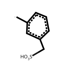 [CH2]c1cccc(CS(=O)(=O)O)c1